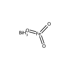 [BiH3].[O]=[Fe](=[O])=[O]